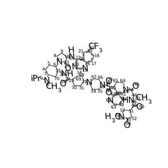 CC(C)N(C)C1CCC(N2CC[C@H](Nc3ncnc4ccc(C(F)(F)F)cc34)C2=O)[C@H](NC(=O)[C@H]2CC[C@@H](N3CCN(S(=O)(=O)C4CCN(C(=O)[C@H](C)NC(=O)[C@H]5CC(=O)N(C)[C@@H]5c5cccnc5)CC4)CC3)CC2)C1